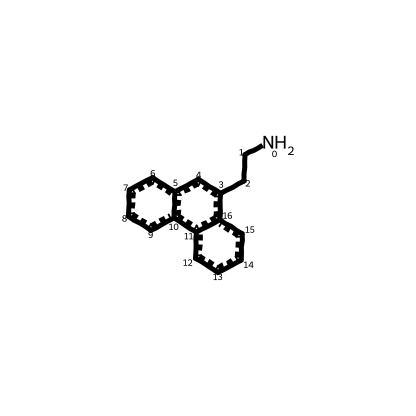 NCCc1cc2ccccc2c2ccccc12